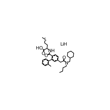 CCCCN(CC1CCCCC1)C(=O)Cc1ccc(C(=O)NC(CCSC)C(=O)O)c(-c2ccccc2C)c1.[LiH]